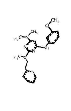 COc1cccc(Nc2cc(N(C)C)nc(N(C)CCc3ccccn3)n2)c1